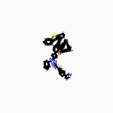 c1ccc(-c2nc(-c3ccc(-c4cccnc4)cc3)nc(-c3ccc(-c4ccc(-c5cccc6sc7ccccc7c56)c5c4oc4ccccc45)cc3)n2)cc1